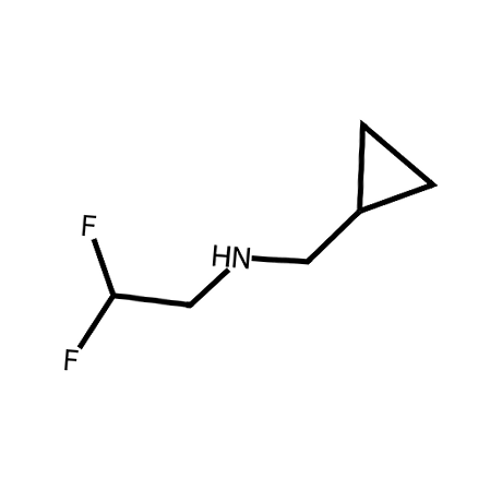 FC(F)CNCC1CC1